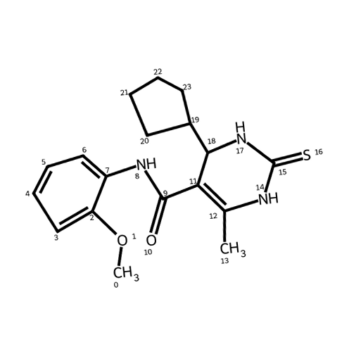 COc1ccccc1NC(=O)C1=C(C)NC(=S)NC1C1CCCC1